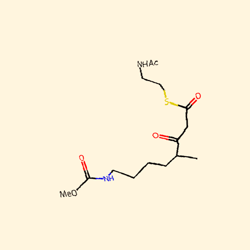 COC(=O)NCCCCC(C)C(=O)CC(=O)SCCNC(C)=O